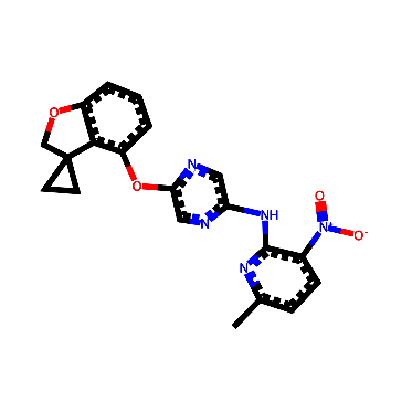 Cc1ccc([N+](=O)[O-])c(Nc2cnc(Oc3cccc4c3C3(CC3)CO4)cn2)n1